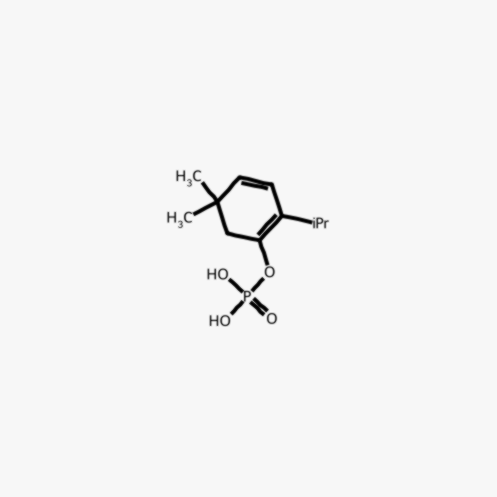 CC(C)C1=C(OP(=O)(O)O)CC(C)(C)C=C1